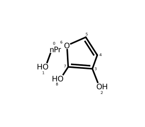 CCCO.Oc1ccoc1O